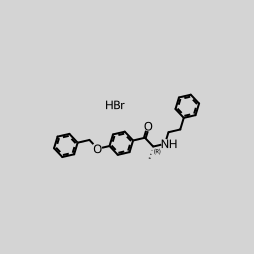 Br.C[C@@H](NCCc1ccccc1)C(=O)c1ccc(OCc2ccccc2)cc1